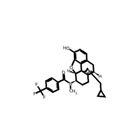 CN(C(=O)c1ccc(C(F)(F)F)cc1)[C@@H]1CC[C@@]2(O)[C@H]3Cc4ccc(O)c5c4[C@@]2(CCN3CC2CC2)[C@H]1O5